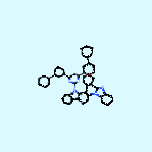 c1ccc(-c2cccc(-c3cc(-c4cccc(-c5ccccc5)c4)nc(-n4c5ccccc5c5ccc6c(c7ccccc7c7nc8ccccc8n67)c54)n3)c2)cc1